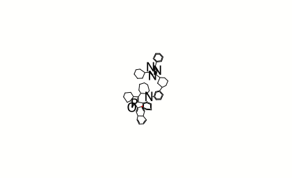 O=P1(C2=CC3C=CC=CC3C=C2)C2=C(C3CCCCCC3N(c3cccc(C4CCCC(c5nc(-c6ccccc6)nc(C6CCCCC6)n5)C4)c3)c3ccccc32)C2CCCCC21